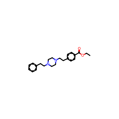 CCOC(=O)c1ccc(CCN2CCN(CCc3ccccc3)CC2)cc1